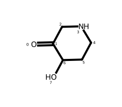 O=C1CNCCC1O